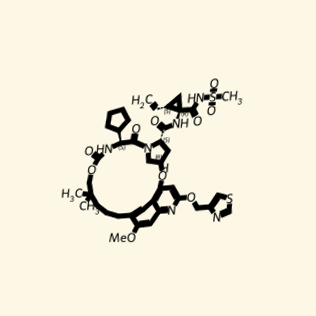 C=C[C@@H]1C[C@]1(NC(=O)[C@@H]1C[C@@H]2CN1C(=O)[C@H](C1CCCC1)NC(=O)OCC(C)(C)CCCc1cc3c(cc(OCc4cscn4)nc3cc1OC)O2)C(=O)NS(C)(=O)=O